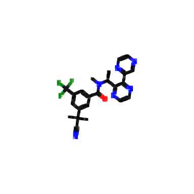 C[C@@H](c1nccnc1-c1cnccn1)N(C)C(=O)c1cc(C(F)(F)F)cc(C(C)(C)C#N)c1